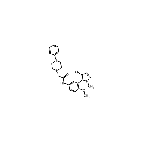 COc1ccc(NC(=O)CN2CCN(c3ccccc3)CC2)cc1-c1c(Cl)cnn1C